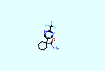 NC(=O)C1(c2cnc(C(F)(F)F)nc2)CCCCC1